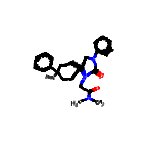 CNC1(c2ccccc2)CCC2(CC1)CN(c1ccccc1)C(=O)N2CC(=O)N(C)C